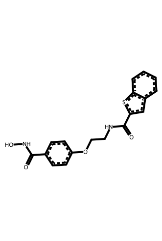 O=C(NO)c1ccc(OCCNC(=O)c2cc3ccccc3s2)cc1